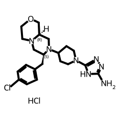 Cl.Nc1nnc(N2CCC(N3C[C@@H]4COCCN4C[C@@H]3Cc3ccc(Cl)cc3)CC2)[nH]1